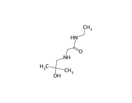 CCNC(=O)CNCC(C)(C)O